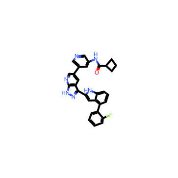 O=C(Nc1cncc(-c2cnc3[nH]nc(-c4cc5c(-c6ccccc6F)cccc5[nH]4)c3c2)c1)C1CCC1